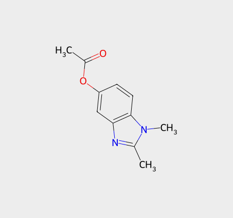 CC(=O)Oc1ccc2c(c1)nc(C)n2C